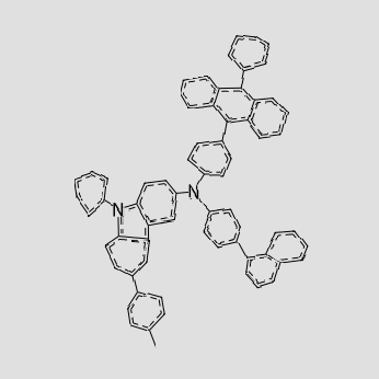 Cc1ccc(-c2ccc3c(c2)c2cc(N(c4ccc(-c5cccc6ccccc56)cc4)c4ccc(-c5c6ccccc6c(-c6ccccc6)c6ccccc56)cc4)ccc2n3-c2ccccc2)cc1